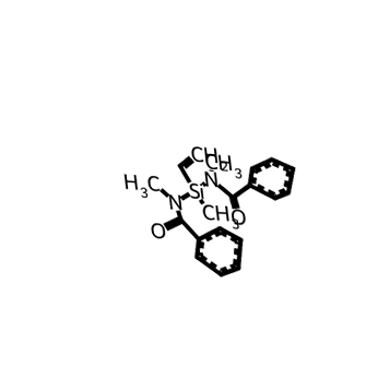 C=C[Si](C)(N(C)C(=O)c1ccccc1)N(C)C(=O)c1ccccc1